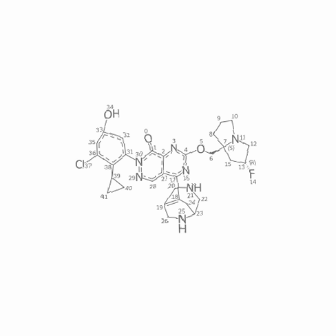 O=c1c2nc(OC[C@@]34CCCN3C[C@H](F)C4)nc(C3=C4CNCC(C3)NC4)c2cnn1-c1cc(O)cc(Cl)c1C1CC1